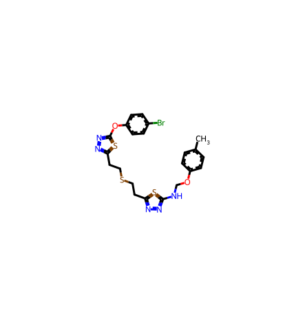 Cc1ccc(OCNc2nnc(CCSCCc3nnc(Oc4ccc(Br)cc4)s3)s2)cc1